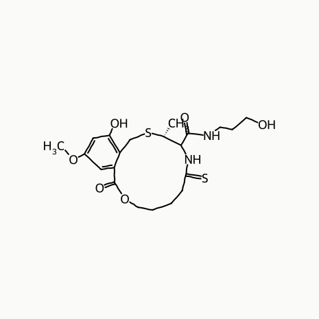 COc1cc(O)c2c(c1)C(=O)OCCCCC(=S)NC(C(=O)NCCCO)[C@@H](C)SC2